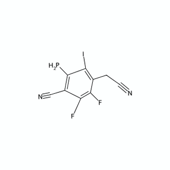 N#CCc1c(F)c(F)c(C#N)c(P)c1I